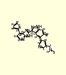 CN(C)Cc1cncc(-c2cc3c(-c4nc5c(-c6cccs6)ccnc5[nH]4)n[nH]c3cc2F)c1